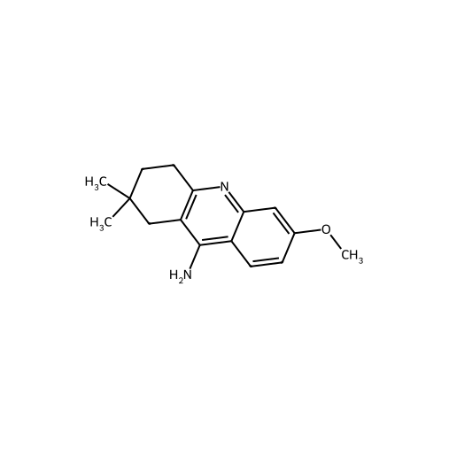 COc1ccc2c(N)c3c(nc2c1)CCC(C)(C)C3